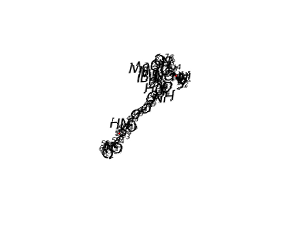 CCC(C)C(C(CC(=O)N1CCCC1C(OC)C(C)C(=O)NCc1nccs1)OC)N(C)C(=O)CNC(=O)C(C)(C)NC(=O)CCOCCOCCC(=O)Nc1ccc(CCC(=O)N2CCC2=O)cc1